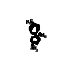 Cc1ccc(C2(N)C=CC(N)=CC2)cc1